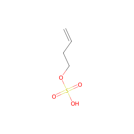 C=CCCOS(=O)(=O)O